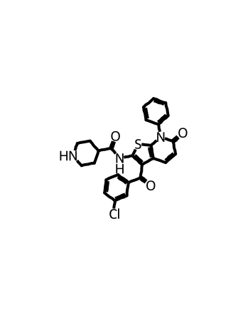 O=C(c1cccc(Cl)c1)c1c(NC(=O)C2CCNCC2)sc2c1ccc(=O)n2-c1ccccc1